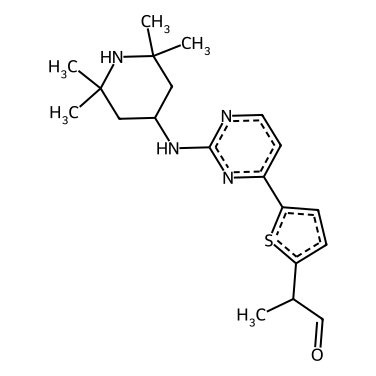 CC(C=O)c1ccc(-c2ccnc(NC3CC(C)(C)NC(C)(C)C3)n2)s1